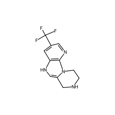 FC(F)(F)c1cnc2c(c1)NC=C1CNCCN12